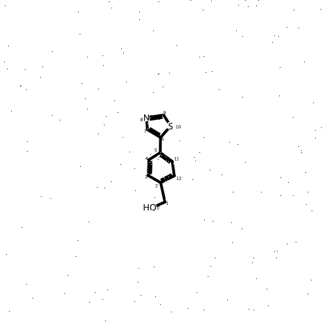 OCc1ccc(-c2cncs2)cc1